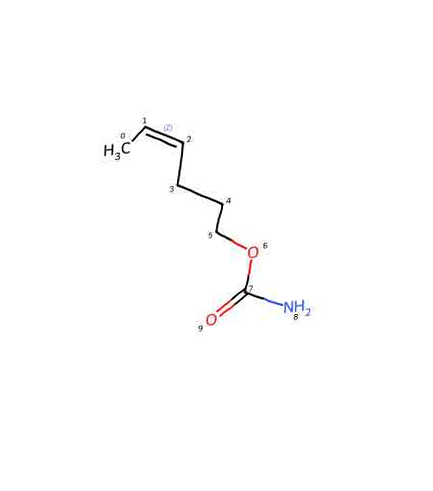 C/C=C\CCCOC(N)=O